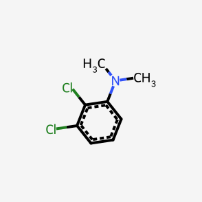 CN(C)c1cccc(Cl)c1Cl